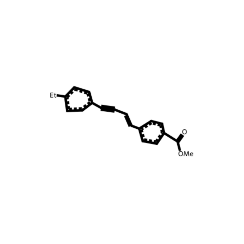 CCc1ccc(C#C/C=C/c2ccc(C(=O)OC)cc2)cc1